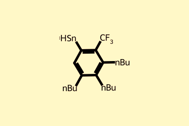 CCCCc1c[c]([SnH])c(C(F)(F)F)c(CCCC)c1CCCC